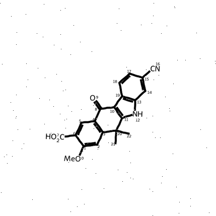 COc1cc2c(cc1C(=O)O)C(=O)c1c([nH]c3cc(C#N)ccc13)C2(C)C